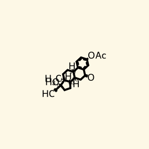 C#C[C@]1(O)CC[C@H]2[C@@H]3CC(=O)c4cc(OC(C)=O)ccc4[C@H]3CC[C@@]21C